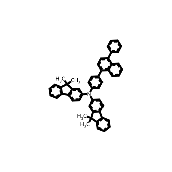 CC1(C)c2ccccc2-c2ccc(N(c3ccc(-c4ccc(-c5ccccc5)c5ccccc45)cc3)c3ccc4c(c3)C(C)(C)c3ccccc3-4)cc21